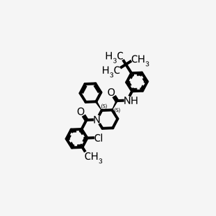 Cc1cccc(C(=O)N2CCC[C@H](C(=O)Nc3cccc(C(C)(C)C)c3)[C@@H]2C2C=CC=CC2)c1Cl